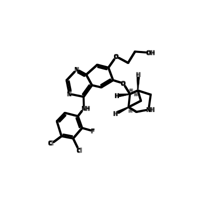 OCCOc1cc2ncnc(Nc3ccc(Cl)c(Cl)c3F)c2cc1O[C@@H]1[C@@H]2CNC[C@H]1C2